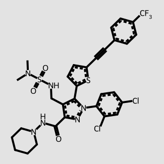 CN(C)S(=O)(=O)NCc1c(C(=O)NN2CCCCC2)nn(-c2ccc(Cl)cc2Cl)c1-c1ccc(C#Cc2ccc(C(F)(F)F)cc2)s1